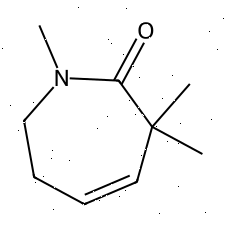 CN1CCC=CC(C)(C)C1=O